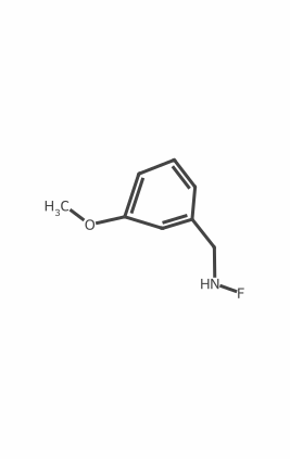 COc1cccc(CNF)c1